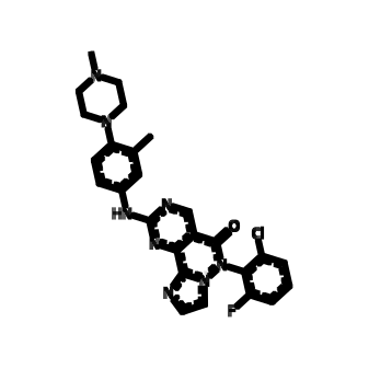 Cc1cc(Nc2ncc3c(=O)n(-c4c(F)cccc4Cl)n4ccnc4c3n2)ccc1N1CCN(C)CC1